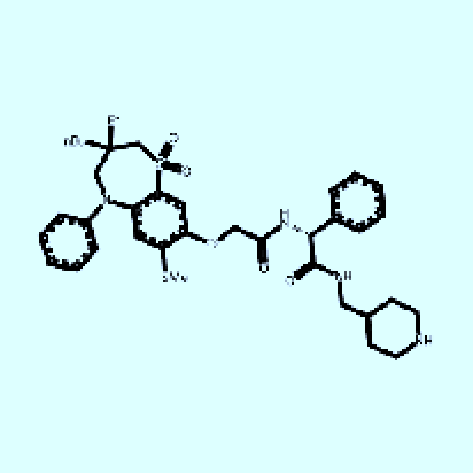 CCCCC1(CC)CN(c2ccccc2)c2cc(SC)c(OCC(=O)N[C@@H](C(=O)NCC3CCNCC3)c3ccccc3)cc2S(=O)(=O)C1